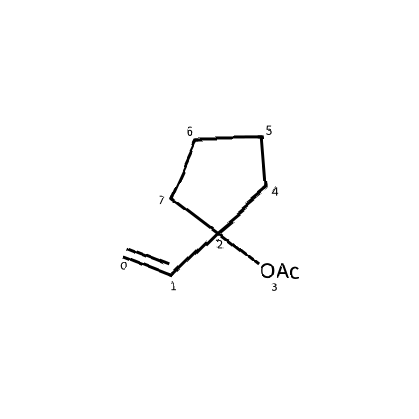 C=CC1(OC(C)=O)CCCC1